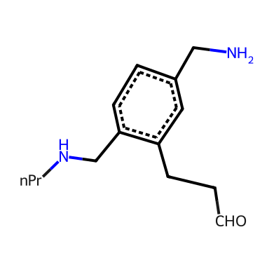 CCCNCc1ccc(CN)cc1CCC=O